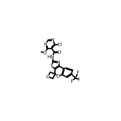 COc1ncnc(Cl)c1C(=O)Nc1nc2c(s1)C1(COC1)Oc1cc(C(F)(F)F)ccc1-2